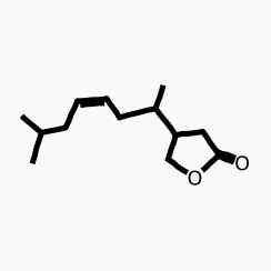 CC(C)C/C=C\CC(C)C1COC(=O)C1